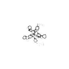 CC(C)(C)c1ccc(Nc2cc3oc4ccccc4c3cc2-c2c3c4c(c5cc(C(C)(C)C)ccc5n4-c4cc5c(cc4B3)sc3ccccc35)c3c2sc2ccccc23)cc1